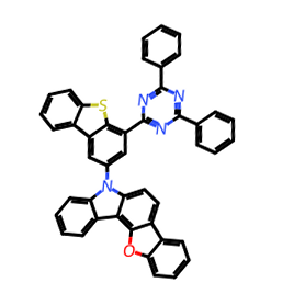 c1ccc(-c2nc(-c3ccccc3)nc(-c3cc(-n4c5ccccc5c5c6oc7ccccc7c6ccc54)cc4c3sc3ccccc34)n2)cc1